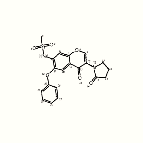 CS(=O)(=O)Nc1cc2occ(N3CCCC3=O)c(=O)c2cc1Oc1ccccc1